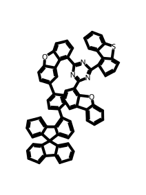 c1ccc2c(c1)-c1ccccc1C21c2ccccc2-c2c(-c3ccc(-c4ccc5oc6cccc(-c7nc(-c8cccc9c8oc8ccccc89)nc(-c8cccc9sc%10ccccc%10c89)n7)c6c5c4)cc3)cccc21